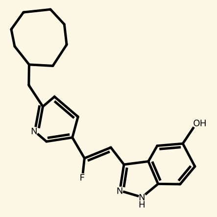 Oc1ccc2[nH]nc(/C=C(\F)c3ccc(CC4CCCCCCC4)nc3)c2c1